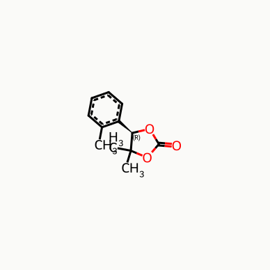 Cc1ccccc1[C@H]1OC(=O)OC1(C)C